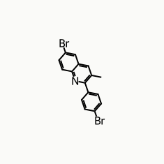 Cc1cc2cc(Br)ccc2nc1-c1ccc(Br)cc1